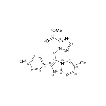 COC(=O)c1ncnn1Cc1c(-c2ccc(Cl)cc2)nc2ccc(Cl)cn12